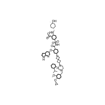 COc1cc(CN2CCN(C3CC4(C3)CN(c3ccc(C(=O)NS(=O)(=O)c5ccc(NC[C@H]6CC[C@](C)(O)CC6)c([N+](=O)[O-])c5)c(Oc5cnc6[nH]ccc6c5)c3)C4)[C@H](c3ccccc3C(C)C)C2)ccc1OC1CC1